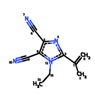 C=C(C)c1nc(C#N)c(C#N)n1CC